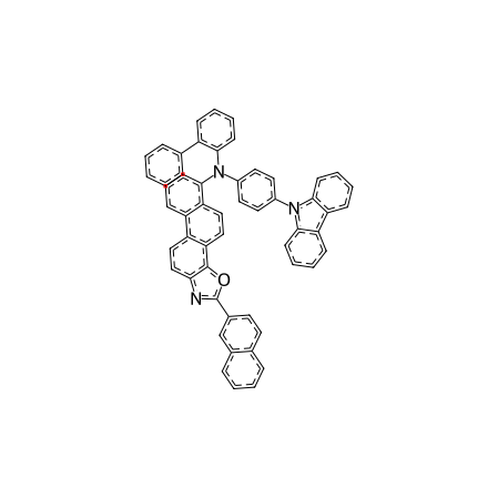 c1ccc(-c2ccccc2N(c2ccc(-n3c4ccccc4c4ccccc43)cc2)c2cccc3c2ccc2c3ccc3nc(-c4ccc5ccccc5c4)oc32)cc1